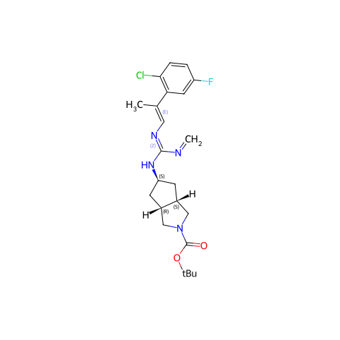 C=N/C(=N\C=C(/C)c1cc(F)ccc1Cl)N[C@H]1C[C@@H]2CN(C(=O)OC(C)(C)C)C[C@@H]2C1